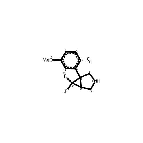 COc1cccc(C23CNCC2C3(F)F)c1.Cl